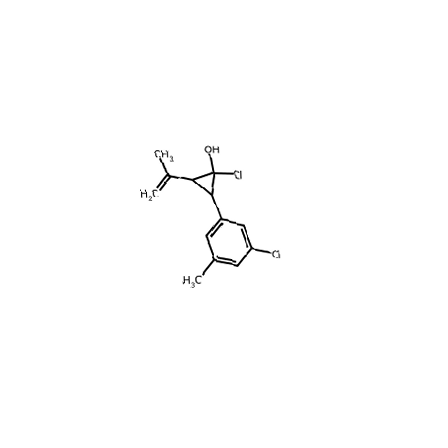 C=C(C)C1C(c2cc(C)cc(Cl)c2)C1(O)Cl